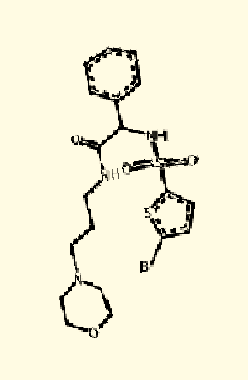 O=C(NCCCN1CCOCC1)C(NS(=O)(=O)c1ccc(Br)s1)c1ccccc1